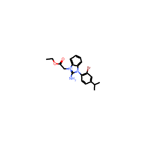 CCOC(=O)C[n+]1c(N)n(-c2ccc(C(C)C)cc2Br)c2ccccc21